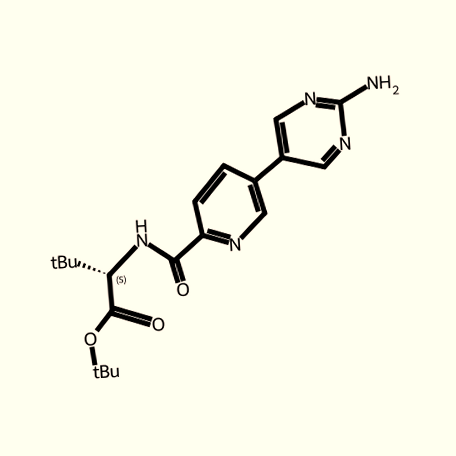 CC(C)(C)OC(=O)[C@@H](NC(=O)c1ccc(-c2cnc(N)nc2)cn1)C(C)(C)C